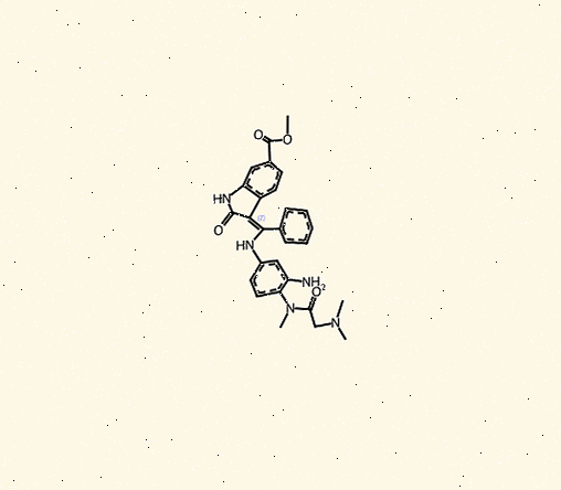 COC(=O)c1ccc2c(c1)NC(=O)/C2=C(\Nc1ccc(N(C)C(=O)CN(C)C)c(N)c1)c1ccccc1